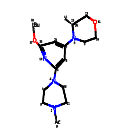 CC(=O)N1CCN(c2cc(N3CCOC[C@H]3C)cc(OC(C)(C)C)n2)CC1